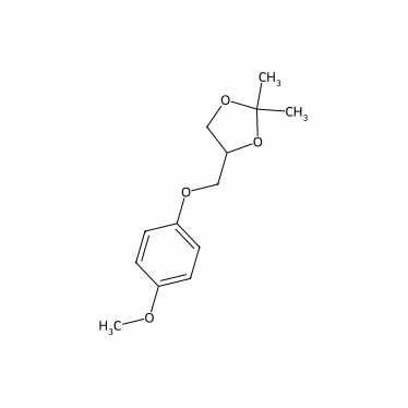 COc1ccc(OCC2COC(C)(C)O2)cc1